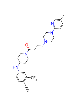 C#Cc1ccc(NC2CCN(C(=O)CCCN3CCN(c4ccc(C)cn4)CC3)CC2)cc1C(F)(F)F